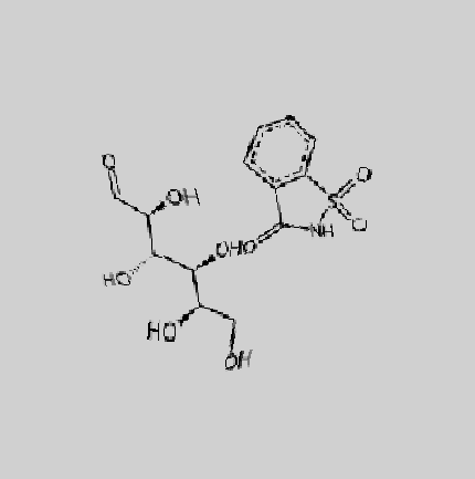 O=C1NS(=O)(=O)c2ccccc21.O=C[C@@H](O)[C@@H](O)[C@@H](O)[C@H](O)CO